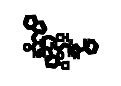 CC1CCN(C(Cc2cccc3ccccc23)C(N)=O)C(=O)C(c2cccc(Cl)c2)N1C(=O)Cn1cc(-c2ccccn2)nn1